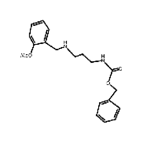 COc1ccccc1CNCCCNC(=O)OCc1ccccc1